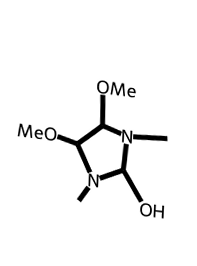 COC1C(OC)N(C)C(O)N1C